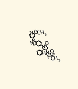 COc1cc(-n2ncc3cc(N4C(=O)C[C@H](NC(=O)C(C)(F)F)[C@H]4c4ccccc4)ccc32)ccn1